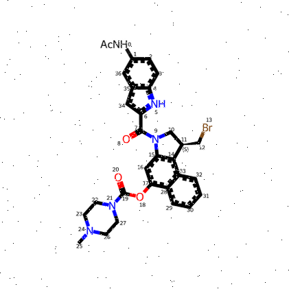 CC(=O)Nc1ccc2[nH]c(C(=O)N3C[C@@H](CBr)c4c3cc(OC(=O)N3CCN(C)CC3)c3ccccc43)cc2c1